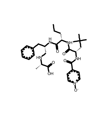 CCC[C@H](NC(=O)[C@H](CC(C)(C)C)NC(=O)c1cc[n+]([O-])cc1)C(=O)N[C@H](CN[C@@H](C)C(=O)O)Cc1ccccc1